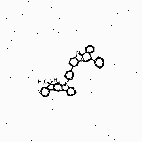 CC1(C)c2ccccc2-c2cc3c4ccccc4n(-c4ccc(C5=CCC6N=C7c8ccccc8C(c8ccccc8)=CN7C6=C5)cc4)c3cc21